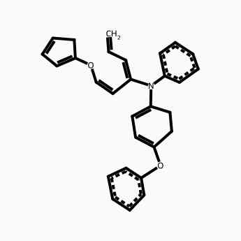 C=C/C=C(\C=C/OC1=CC=CC1)N(C1=CC=C(Oc2ccccc2)CC1)c1ccccc1